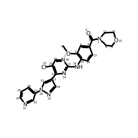 COc1cc(C(=O)N2CCOCC2)ccc1Nc1ncc(Cl)c(-c2cnn(-c3cccnc3)c2)n1